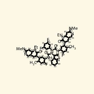 CCn1c(=O)c(-c2cc(NC(=O)N(c3cc(F)cc(F)c3)N(C(=O)Nc3cc(-c4cc5cnc(NC)cc5n(CC)c4=O)c(C)cc3F)c3csc4ccccc34)c(F)cc2C)cc2cnc(NC)cc21